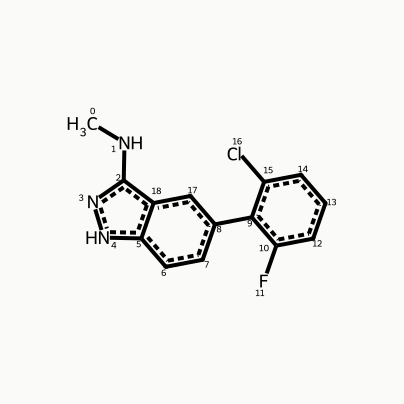 CNc1n[nH]c2ccc(-c3c(F)cccc3Cl)cc12